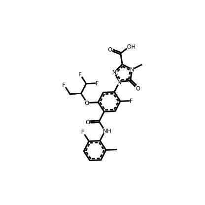 Cc1cccc(F)c1NC(=O)c1cc(F)c(-n2nc(C(=O)O)n(C)c2=O)cc1O[C@@H](CF)C(F)F